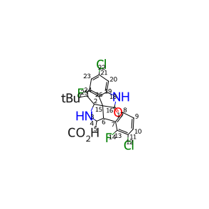 CC(C)(C)CC1NC(C(=O)O)C(c2cccc(Cl)c2F)C12C(=O)Nc1cc(Cl)cc(F)c12